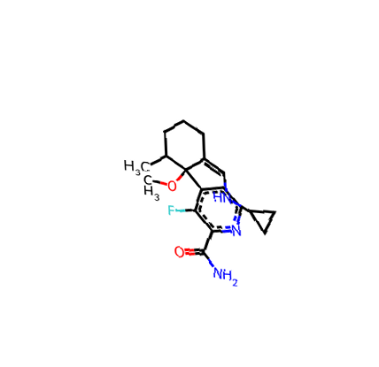 COC1(c2ccnc(C(N)=O)c2F)/C(=C\NC2CC2)CCCC1C